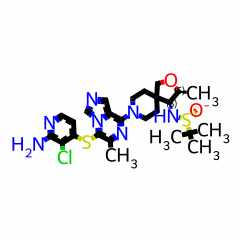 Cc1nc(N2CCC3(CC2)CO[C@@H](C)[C@H]3N[S+]([O-])C(C)(C)C)c2cncn2c1Sc1ccnc(N)c1Cl